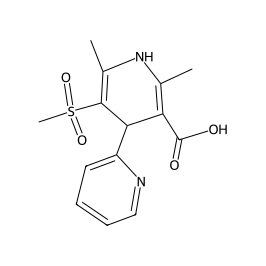 CC1=C(C(=O)O)C(c2ccccn2)C(S(C)(=O)=O)=C(C)N1